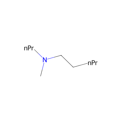 [CH]CCN(C)CCCCC